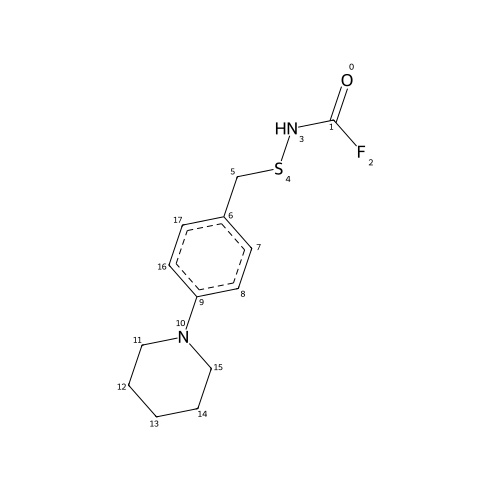 O=C(F)NSCc1ccc(N2CCCCC2)cc1